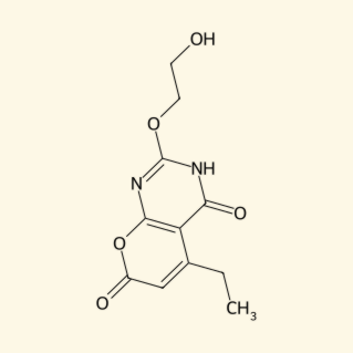 CCc1cc(=O)oc2nc(OCCO)[nH]c(=O)c12